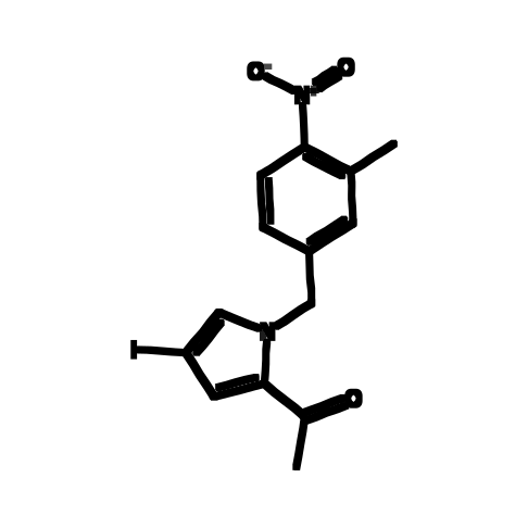 CC(=O)c1cc(I)cn1Cc1ccc([N+](=O)[O-])c(C)c1